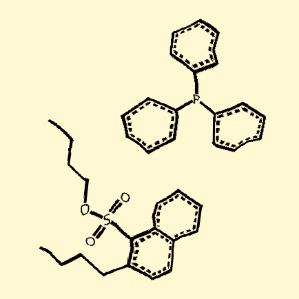 CCCCOS(=O)(=O)c1c(CCCC)ccc2ccccc12.c1ccc(P(c2ccccc2)c2ccccc2)cc1